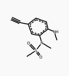 C#Cc1ccc(NC)c(N(C)S(C)(=O)=O)c1